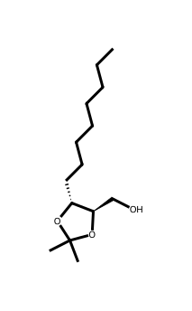 CCCCCCCC[C@H]1OC(C)(C)O[C@@H]1CO